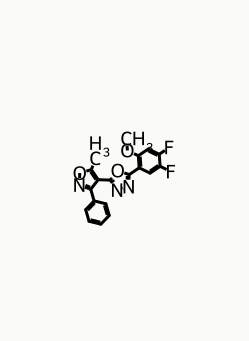 COc1cc(F)c(F)cc1-c1nnc(-c2c(-c3ccccc3)noc2C)o1